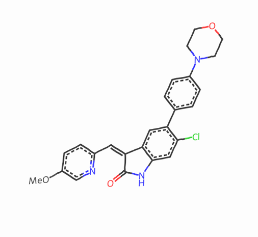 COc1ccc(/C=C2\C(=O)Nc3cc(Cl)c(-c4ccc(N5CCOCC5)cc4)cc32)nc1